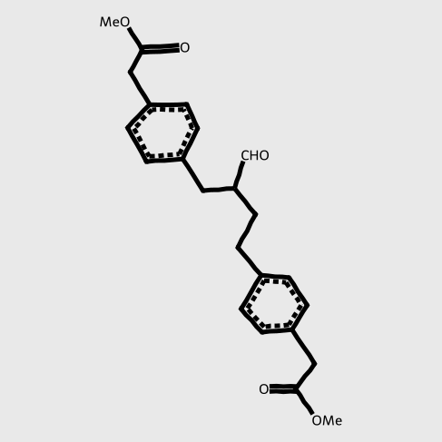 COC(=O)Cc1ccc(CCC(C=O)Cc2ccc(CC(=O)OC)cc2)cc1